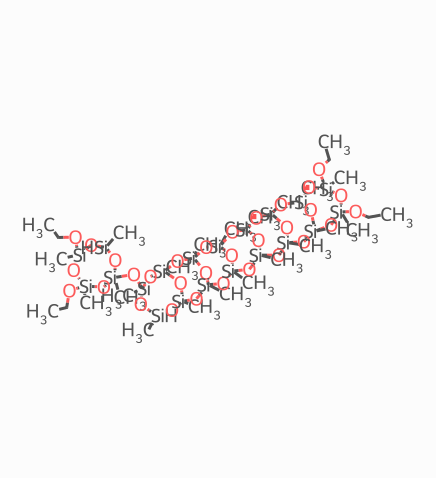 CCO[Si]1(C)O[SiH](C)O[Si](C)(O[Si]2(C)O[SiH](C)O[Si]3(C)O[Si](C)(O2)O[Si]2(C)O[Si](C)(O3)O[Si]3(C)O[Si](C)(O2)O[Si]2(C)O[Si]4(C)O[Si]5(C)O[Si](C)(OCC)O[Si](C)(OCC)O[Si](C)(O5)O[Si](C)(O4)O[Si](C)(O3)O2)O[Si](C)(OCC)O1